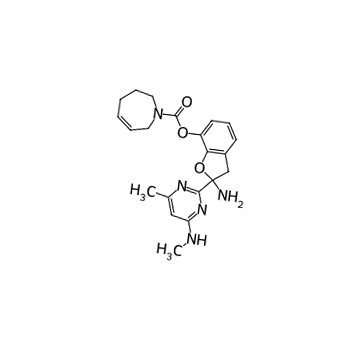 CNc1cc(C)nc(C2(N)Cc3cccc(OC(=O)N4CC=CCCC4)c3O2)n1